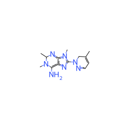 CC1=CC=NN(c2nc3c(n2C)=NC(C)N(C)C=3N)C1